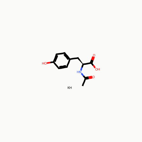 CC(=O)N[C@@H](Cc1ccc(O)cc1)C(=O)O.[KH]